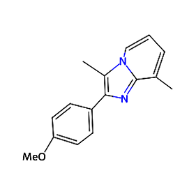 COc1ccc(-c2nc3c(C)cccn3c2C)cc1